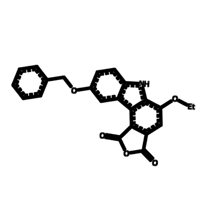 CCOc1cc2c(c3c1[nH]c1ccc(OCc4ccccc4)cc13)C(=O)OC2=O